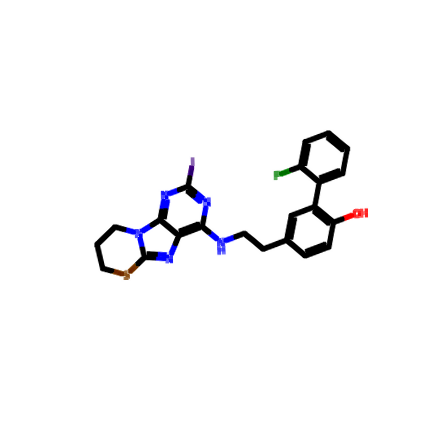 Oc1ccc(CCNc2nc(I)nc3c2nc2n3CCCS2)cc1-c1ccccc1F